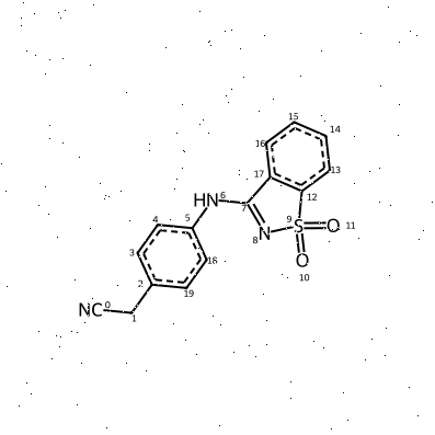 N#CCc1ccc(NC2=NS(=O)(=O)c3ccccc32)cc1